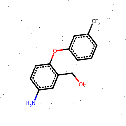 Nc1ccc(Oc2cccc(C(F)(F)F)c2)c(CO)c1